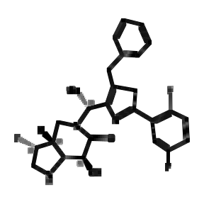 CC(C)(C)[C@H](C1=C(Cc2ccccc2)CC(c2cc(F)ccc2F)=N1)N1C[C@@H]2C(NC[C@@H]2F)[C@H](O)C1=O